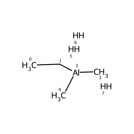 C[CH2][Al]([CH3])[CH3].[HH].[HH].[HH]